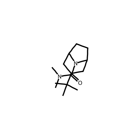 CN(C)C(=O)N1C2CCC1CC(C(C)(C)C)C2